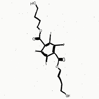 O=C(OCCCCO)c1c(I)c(I)c(C(=O)OCCCCO)c(I)c1I